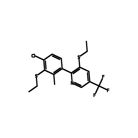 CCSc1cc(C(F)(F)F)cnc1-c1ccc(Cl)c(SCC)c1C